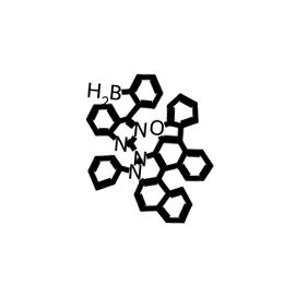 Bc1ccccc1-c1nc(N2c3c(c4ccccc4c4c3oc3ccccc34)-c3c(ccc4ccccc34)N2c2ccccc2)nc2ccccc12